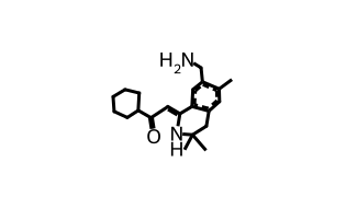 Cc1cc2c(cc1CN)C(=CC(=O)C1CCCCC1)NC(C)(C)C2